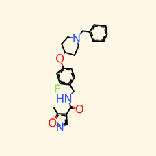 Cc1oncc1C(=O)NCc1ccc(OC2CCN(Cc3ccccc3)CC2)cc1F